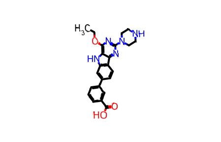 CCOc1nc(N2CCNCC2)nc2c1[nH]c1cc(-c3cccc(C(=O)O)c3)ccc12